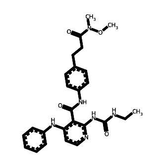 CCNC(=O)Nc1nccc(Nc2ccccc2)c1C(=O)Nc1ccc(CCC(=O)N(C)OC)cc1